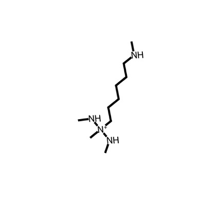 CNCCCCCC[N+](C)(NC)NC